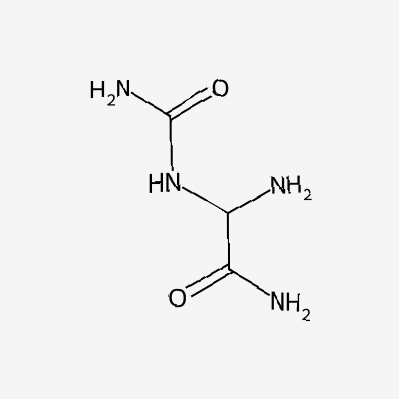 NC(=O)NC(N)C(N)=O